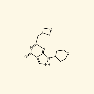 O=c1nc(CC2COC2)nc2n(C3CCOCC3)[nH]cc1-2